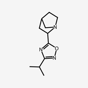 CC(C)c1noc(C2CC3CCN2C3)n1